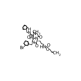 C=CCOC(=O)NCCC[C@H]1C(=O)N(Cc2cccc(Br)c2)C[C@H]2N1C(=O)CN(C)N2C(=O)NCc1ccccc1